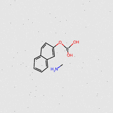 CN.OB(O)Oc1ccc2ccccc2c1